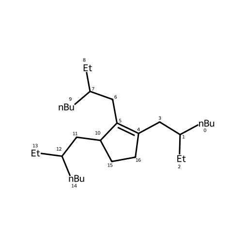 CCCCC(CC)CC1=C(CC(CC)CCCC)C(CC(CC)CCCC)CC1